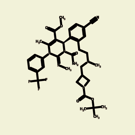 C/N=C1/N(c2cccc(C(F)(F)F)c2)C(C)=C(C(=O)OC)[C@@H](c2ccc(C#N)cc2CCN(C)CC2CN(C(=O)OC(C)(C)C)C2)N1C(N)=O